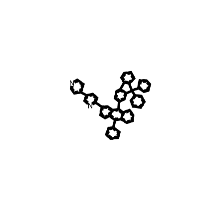 c1ccc(-c2c3ccccc3c(-c3ccc4c(c3)C(c3ccccc3)(c3ccccc3)c3ccccc3-4)c3cc(-c4ccc(-c5ccncc5)cn4)ccc23)cc1